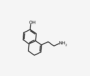 NCCC1=CCCc2ccc(O)cc21